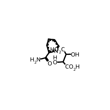 NC(=O)c1ccccn1.O=C(O)C(O)C(O)C(=O)O